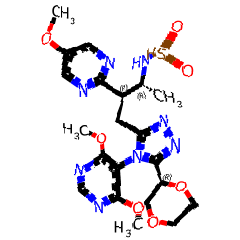 COc1cnc([C@H](Cc2nnc([C@@H]3COCCO3)n2-c2c(OC)ncnc2OC)[C@@H](C)N[SH](=O)=O)nc1